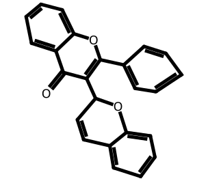 O=c1c(C2C=Cc3ccccc3O2)c(-c2ccccc2)oc2ccccc12